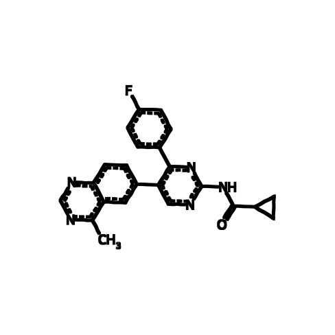 Cc1ncnc2ccc(-c3cnc(NC(=O)C4CC4)nc3-c3ccc(F)cc3)cc12